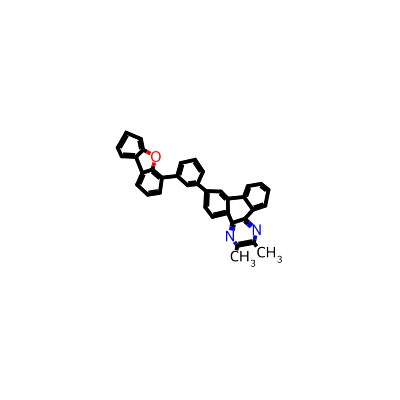 Cc1nc2c3ccccc3c3cc(-c4cccc(-c5cccc6c5oc5ccccc56)c4)ccc3c2nc1C